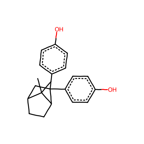 CC1(C)C2CCC1C(c1ccc(O)cc1)(c1ccc(O)cc1)C2